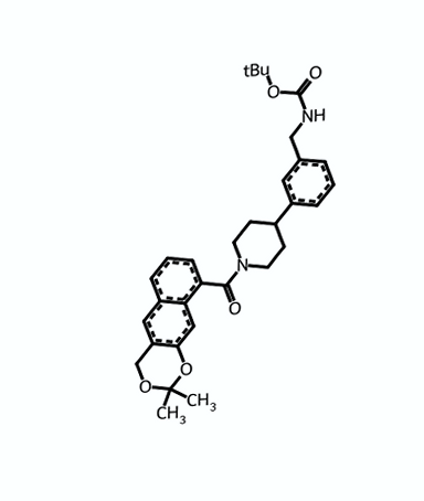 CC(C)(C)OC(=O)NCc1cccc(C2CCN(C(=O)c3cccc4cc5c(cc34)OC(C)(C)OC5)CC2)c1